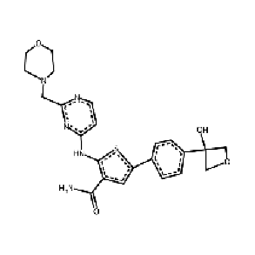 NC(=O)c1cc(-c2ccc(C3(O)COC3)cc2)sc1Nc1ccnc(CN2CCOCC2)n1